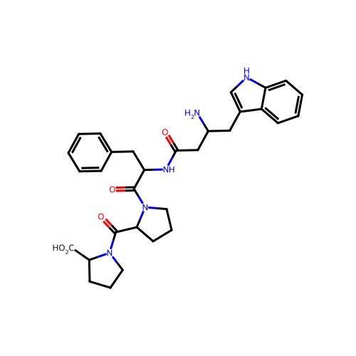 NC(CC(=O)NC(Cc1ccccc1)C(=O)N1CCCC1C(=O)N1CCCC1C(=O)O)Cc1c[nH]c2ccccc12